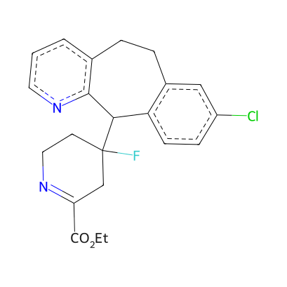 CCOC(=O)C1=NCCC(F)(C2c3ccc(Cl)cc3CCc3cccnc32)C1